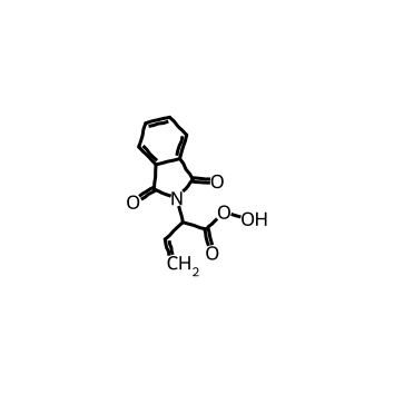 C=CC(C(=O)OO)N1C(=O)c2ccccc2C1=O